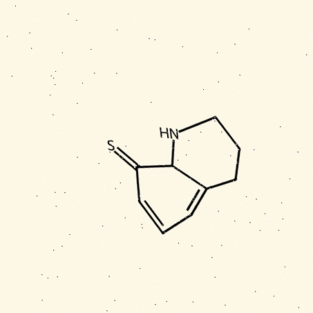 S=C1C=CC=C2CCCNC12